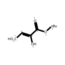 CCCCOC(=O)C(O)=CC(=O)O